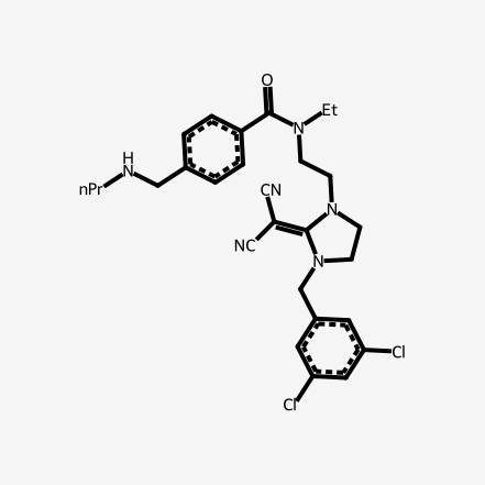 CCCNCc1ccc(C(=O)N(CC)CCN2CCN(Cc3cc(Cl)cc(Cl)c3)C2=C(C#N)C#N)cc1